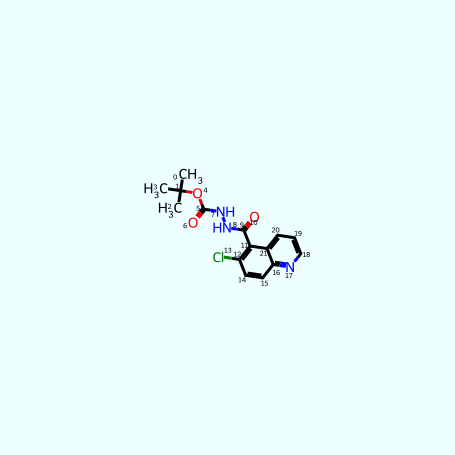 CC(C)(C)OC(=O)NNC(=O)c1c(Cl)ccc2ncccc12